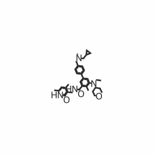 CCN(c1cc(-c2ccc(CN(C)CC3CC3)cc2)cc(C(=O)NCc2c(C)cc(C)[nH]c2=O)c1C)C1CCOCC1